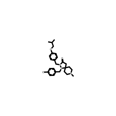 CC(C)COc1ccc(CN2C(=O)CC3(CCN(C)CC3)N2Cc2ccc(Cl)cc2)cc1